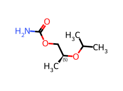 CC(C)O[C@@H](C)COC(N)=O